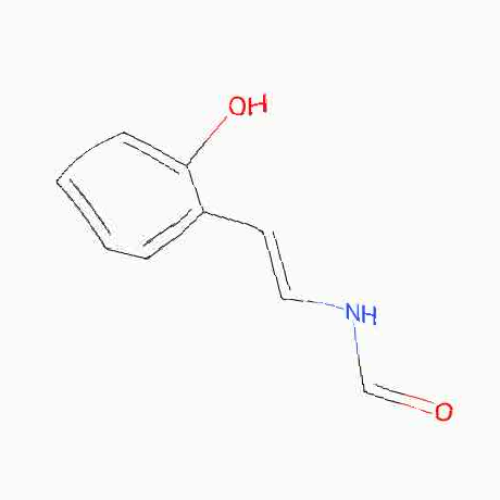 O=CNC=Cc1ccccc1O